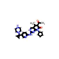 CC(=O)c1c(C)c2cnc(Nc3ccc(C4(N5CCNCC5)CC4)cn3)nc2n(C2CCCC2)c1=O